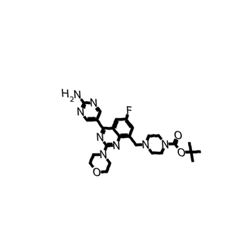 CC(C)(C)OC(=O)N1CCN(Cc2cc(F)cc3c(-c4cnc(N)nc4)nc(N4CCOCC4)nc23)CC1